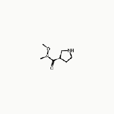 CON(C)C(=O)[C@@H]1CCNC1